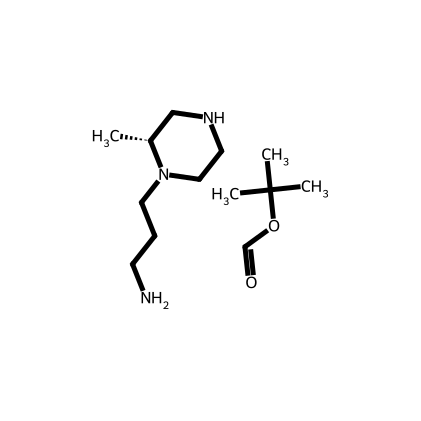 CC(C)(C)OC=O.C[C@@H]1CNCCN1CCCN